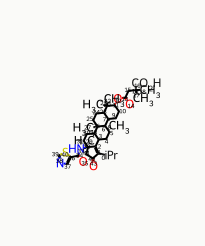 CC(C)C1=C2C3CCC4[C@@]5(C)CC[C@H](OC(=O)CC(C)(C)C(=O)O)C(C)(C)C5CC[C@@]4(C)[C@]3(C)CC[C@@]2(NC(=O)c2cncs2)CC1=O